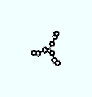 c1ccc2ncc(-c3ccc4c(c3)c3cc(-c5cnc6ccccc6c5)ccc3n4-c3ccc(-c4cc5ccccc5s4)cc3)cc2c1